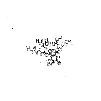 CCCCC(CCC(C)C)OC(=O)c1cc(Br)c(Br)cc1C(=O)OC(CCCC)CCC(C)C